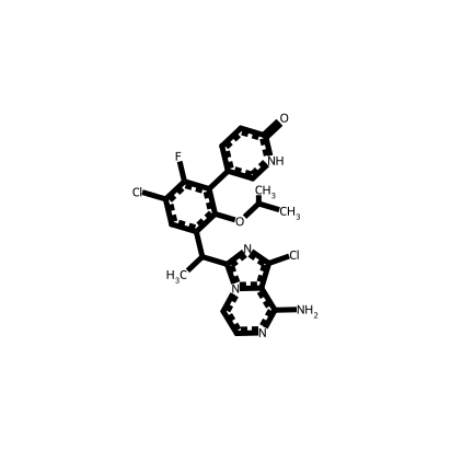 CC(C)Oc1c(C(C)c2nc(Cl)c3c(N)nccn23)cc(Cl)c(F)c1-c1ccc(=O)[nH]c1